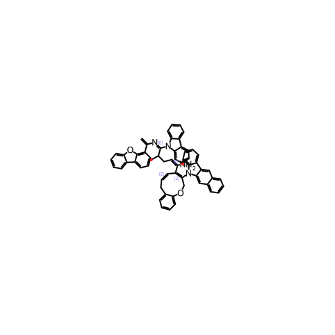 C=C(/N=C(\C(C)C\C=C(N)/C1=C(\n2c3ccccc3c3cc4ccccc4cc32)COc2ccccc2C/C=C\1)n1c2ccccc2c2ccccc21)c1cccc2c1oc1ccccc12